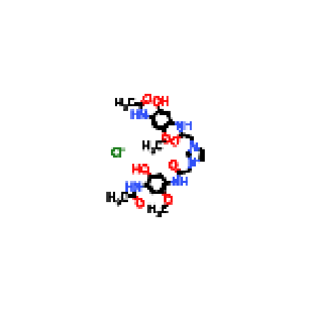 COc1cc(NC(C)=O)c(O)cc1NC(=O)Cn1cc[n+](CC(=O)Nc2cc(O)c(NC(C)=O)cc2OC)c1.[Cl-]